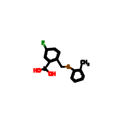 Cc1ccccc1SCc1ccc(F)cc1B(O)O